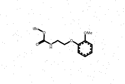 COc1ccccc1OCCNC(=O)OC(C)(C)C